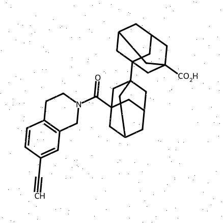 C#Cc1ccc2c(c1)CN(C(=O)C13CC4CC(C1)CC(C15CC6CC(CC(C(=O)O)(C6)C1)C5)(C4)C3)CC2